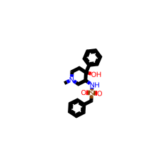 CN1CCC(O)(c2ccccc2)C(NS(=O)(=O)Cc2ccccc2)C1